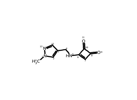 Cn1cc(CNc2cc(=O)c2=O)cn1